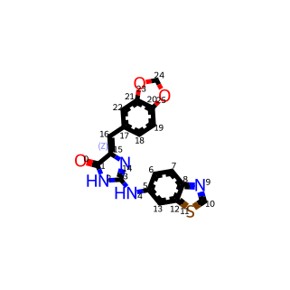 O=C1NC(Nc2ccc3ncsc3c2)=N/C1=C\c1ccc2c(c1)OCO2